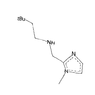 Cn1ccnc1CNCCC(C)(C)C